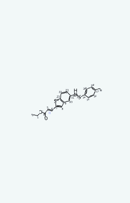 CCOC(=O)/C=C/c1cc2cc(NSc3ccc(C)cc3)ccc2s1